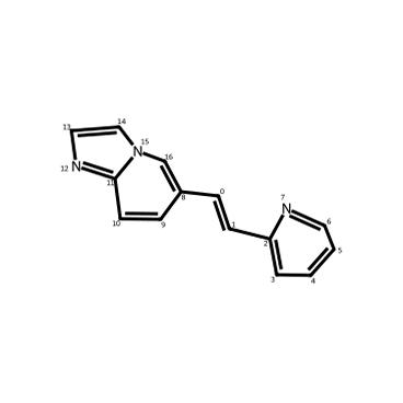 C(=C\c1ccccn1)/c1ccc2nccn2c1